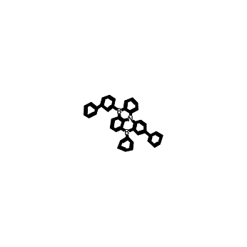 c1ccc(B2c3cc(-c4ccccc4)ccc3N3c4ccccc4B(c4cccc(-c5ccccc5)c4)c4cccc2c43)cc1